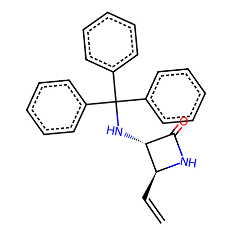 C=C[C@@H]1NC(=O)[C@H]1NC(c1ccccc1)(c1ccccc1)c1ccccc1